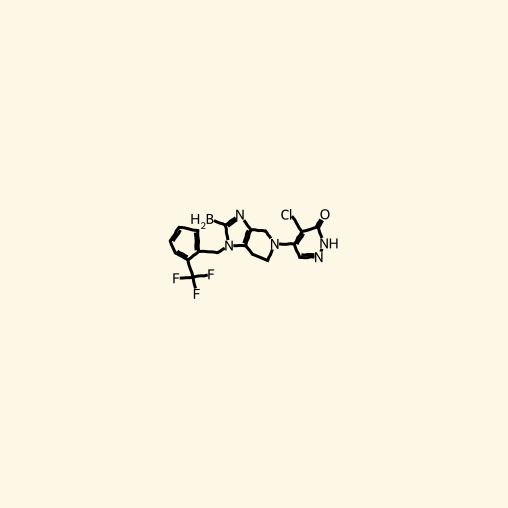 Bc1nc2c(n1Cc1ccccc1C(F)(F)F)CCN(c1cn[nH]c(=O)c1Cl)C2